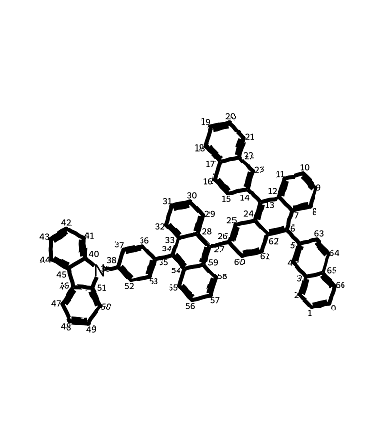 c1ccc2cc(-c3c4ccccc4c(-c4ccc5ccccc5c4)c4cc(-c5c6ccccc6c(-c6ccc(-n7c8ccccc8c8ccccc87)cc6)c6ccccc56)ccc34)ccc2c1